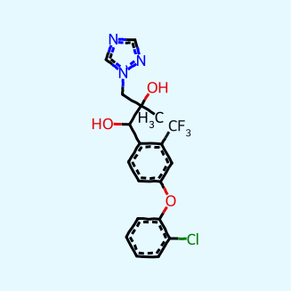 CC(O)(Cn1cncn1)C(O)c1ccc(Oc2ccccc2Cl)cc1C(F)(F)F